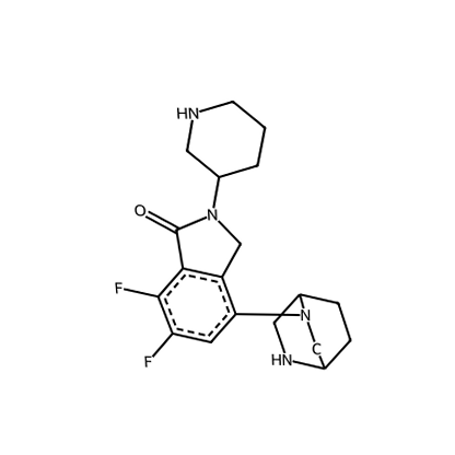 O=C1c2c(F)c(F)cc(N3CC4CCC3CN4)c2CN1C1CCCNC1